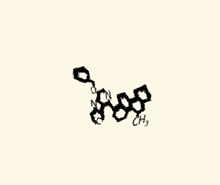 CC1C=c2ccccc2=c2ccc3c(c21)CCCC=3C1N=CC(OCc2ccccc2)=C2N=c3cc[c]cc3=C21